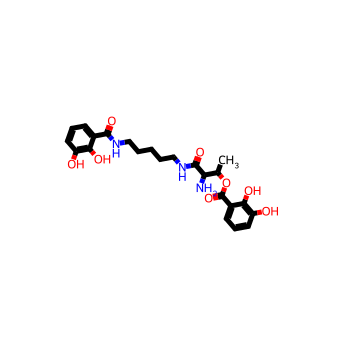 CC(OC(=O)c1cccc(O)c1O)C(N)C(=O)NCCCCCNC(=O)c1cccc(O)c1O